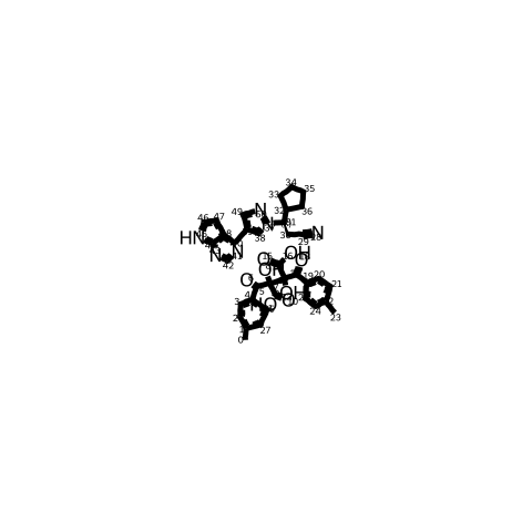 Cc1ccc(C(=O)C(O)(C(=O)O)C(O)(C(=O)O)C(=O)c2ccc(C)cc2)cc1.N#CC[C@H](C1CCCC1)n1cc(-c2ncnc3[nH]ccc23)cn1